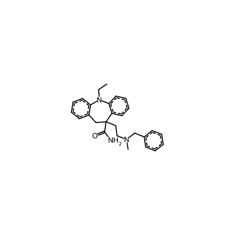 CCN1c2ccccc2CC(CCN(C)Cc2ccccc2)(C(N)=O)c2ccccc21